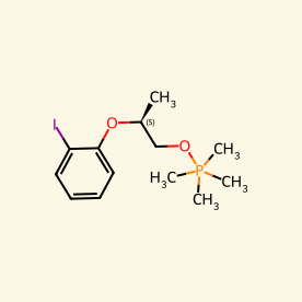 C[C@@H](COP(C)(C)(C)C)Oc1ccccc1I